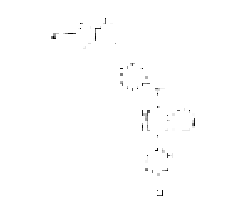 N#Cc1cc2nccc(Sc3ccc(Nc4nnc(-c5ccc(Cl)cn5)c5ccccc45)cc3)c2s1